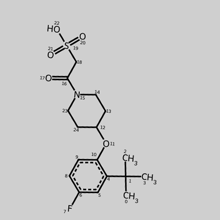 CC(C)(C)c1cc(F)ccc1OC1CCN(C(=O)CS(=O)(=O)O)CC1